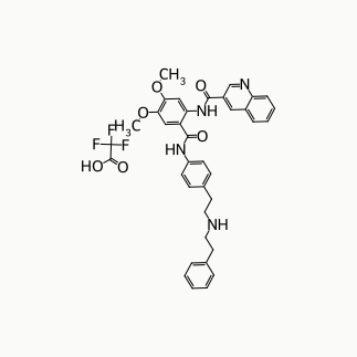 COc1cc(NC(=O)c2cnc3ccccc3c2)c(C(=O)Nc2ccc(CCNCCc3ccccc3)cc2)cc1OC.O=C(O)C(F)(F)F